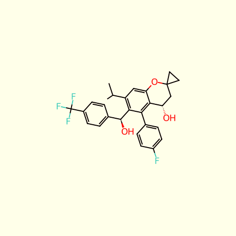 CC(C)c1cc2c(c(-c3ccc(F)cc3)c1[C@@H](O)c1ccc(C(F)(F)F)cc1)[C@@H](O)CC1(CC1)O2